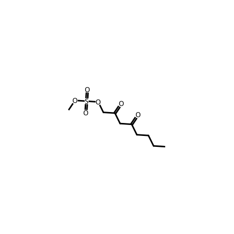 CCCCC(=O)CC(=O)COS(=O)(=O)OC